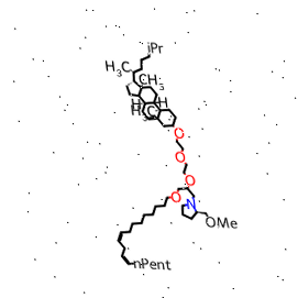 CCCCC/C=C\C/C=C\CCCCCCCCOCC(CN1CCC[C@@H]1COC)OCCOCCO[C@H]1CC[C@@]2(C)C(=CC[C@H]3C4CC[C@H]([C@H](C)CCCC(C)C)[C@@]4(C)CC[C@@H]32)C1